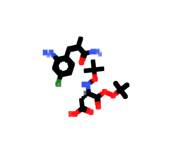 CC(=Cc1ccc(Cl)cc1N)C(N)=O.CC(C)(C)ON[C@@H](CC(=O)O)C(=O)OOC(C)(C)C